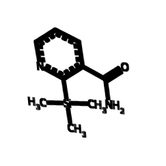 C[Si](C)(C)c1ncccc1C(N)=O